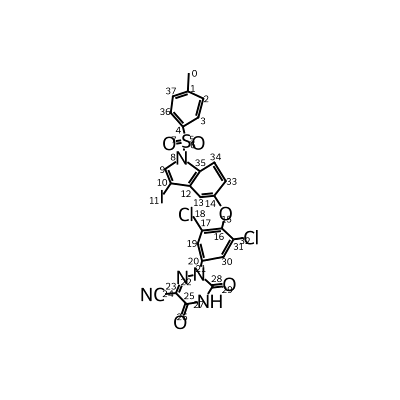 Cc1ccc(S(=O)(=O)n2cc(I)c3cc(Oc4c(Cl)cc(-n5nc(C#N)c(=O)[nH]c5=O)cc4Cl)ccc32)cc1